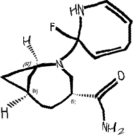 NC(=O)[C@@H]1C[C@H]2C[C@H]2N1C1(F)C=CC=CN1